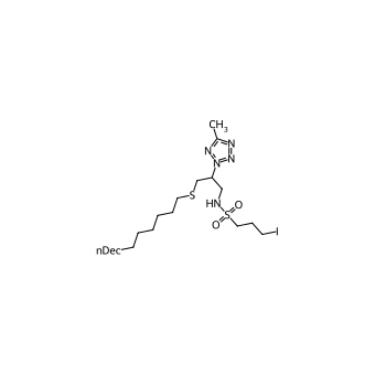 CCCCCCCCCCCCCCCCSCC(CNS(=O)(=O)CCCI)n1nnc(C)n1